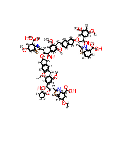 CCOc1cc(C(=O)O)c2nc(C[C@H](OC3CCCC3)[C@H](O)c3cc(OC)c(Cc4ccc5c(c4)CC(O[C@@H](Cc4nc6c(C(=O)O)cc(OC)cc6s4)[C@H](O)c4cc(OC)c(Cc6ccc7c(c6)CC(O[C@@H](Cc6nc8c(C(=O)O)cccc8s6)[C@H](O)c6cc(OC)c(C)c(OC)c6)C7)c(OC)c4)C5)c(OC)c3)sc2c1